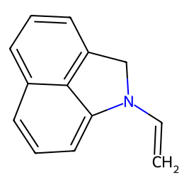 C=CN1Cc2cccc3cccc1c23